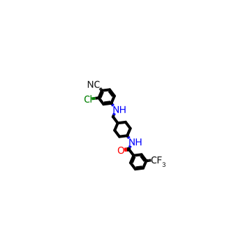 N#Cc1ccc(NCC2CCC(NC(=O)c3cccc(C(F)(F)F)c3)CC2)cc1Cl